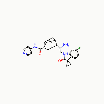 NC(CNC(=O)C1(c2ccc(F)cc2)CC1)C1C2CC3CC1CC(C(=O)Nc1ccncc1)(C3)C2